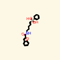 O=C(NCCCC=C[Si](O)(O)c1ccccc1)c1cc2ccccc2o1